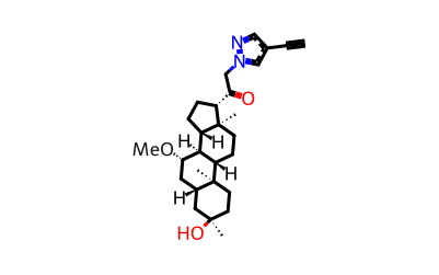 C#Cc1cnn(CC(=O)[C@H]2CC[C@H]3[C@@H]4[C@@H](OC)C[C@H]5C[C@](C)(O)CC[C@]5(C)[C@H]4CC[C@]23C)c1